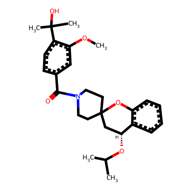 COc1cc(C(=O)N2CCC3(CC2)C[C@@H](OC(C)C)c2ccccc2O3)ccc1C(C)(C)O